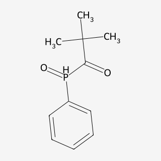 CC(C)(C)C(=O)[PH](=O)c1ccccc1